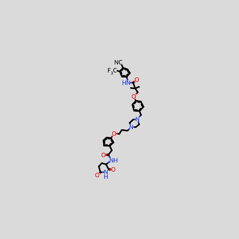 CC(C)(COc1ccc(CN2CCN(CCCOc3cccc(CC(=O)NC4CCC(=O)NC4=O)c3)CC2)cc1)C(=O)Nc1ccc(C#N)c(C(F)(F)F)c1